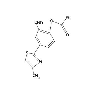 CCC(=O)Oc1ccc(-c2nc(C)cs2)cc1C=O